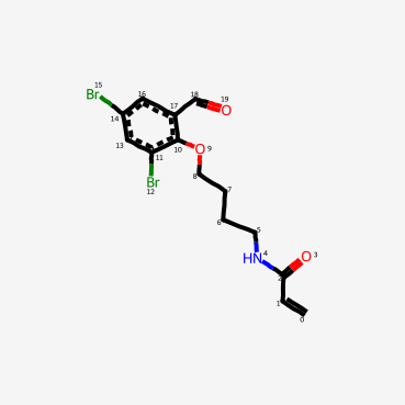 C=CC(=O)NCCCCOc1c(Br)cc(Br)cc1C=O